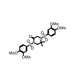 COc1ccc(S(=O)(=O)N2CC(C)(C)N(S(=O)(=O)c3ccc(OC)c(OC)c3)CC2=O)cc1OC